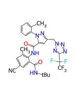 Cc1ccccc1-n1nc(Cn2nnc(C(F)(F)C(F)(F)F)n2)cc1C(=O)Nc1c(C)cc(C#N)cc1C(=O)NC(C)(C)C